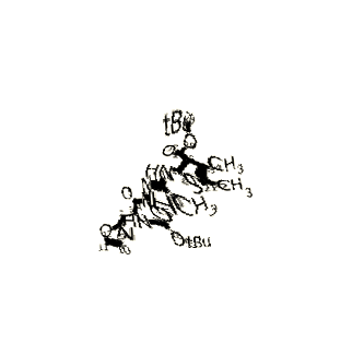 C/C(=N\NC(=O)[C@H](Cc1ncco1)NC(=O)OC(C)(C)C)Nc1sc(C)c(C)c1C(=O)OC(C)(C)C